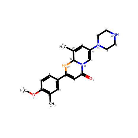 COc1ccc(C2=CC(=O)N3C=C(N4CCNCC4)C=C(C)C3P2)cc1C